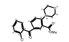 COC(=O)c1cc(C(=O)c2ccccc2Cl)ccc1N1CCOCC1